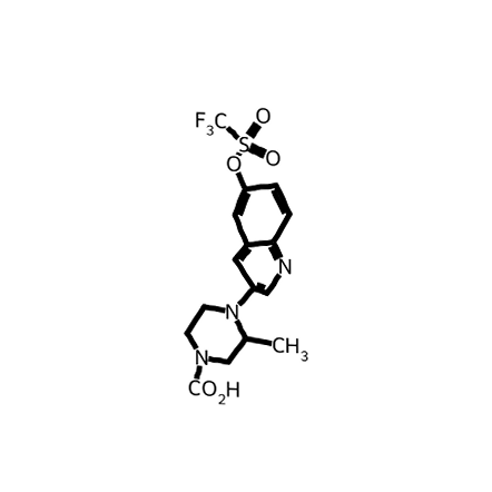 CC1CN(C(=O)O)CCN1c1cnc2ccc(OS(=O)(=O)C(F)(F)F)cc2c1